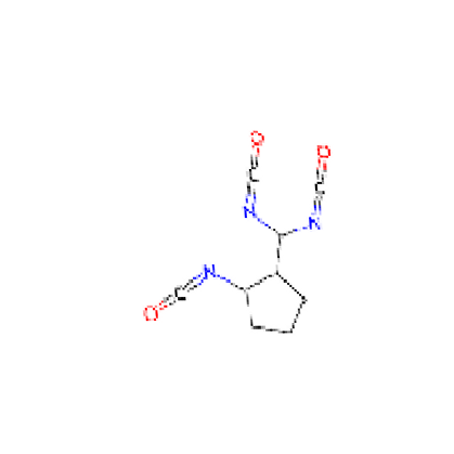 O=C=NC1CCCC1C(N=C=O)N=C=O